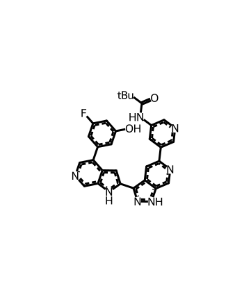 CC(C)(C)C(=O)Nc1cncc(-c2cc3c(-c4cc5c(-c6cc(O)cc(F)c6)cncc5[nH]4)n[nH]c3cn2)c1